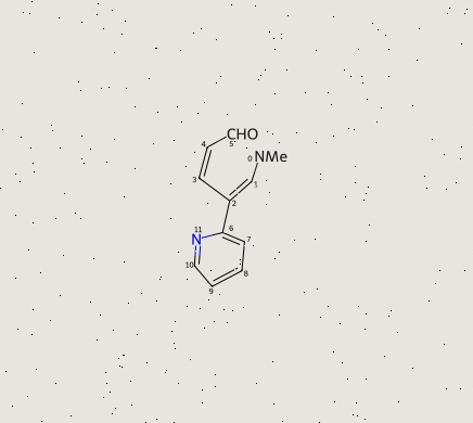 CN/C=C(\C=C/C=O)c1ccccn1